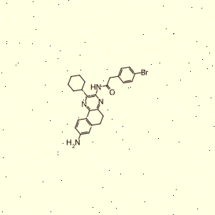 Nc1ccc2c(c1)CCc1nc(NC(=O)Cc3ccc(Br)cc3)c(C3CCCCC3)nc1-2